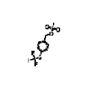 CS(=O)(=O)OCc1ccc(SC(F)(F)F)cc1